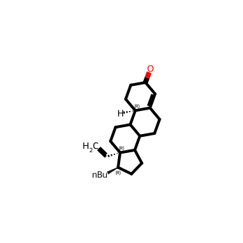 C=C[C@]12CCC3C(CCC4=CC(=O)CC[C@@H]43)C1CC[C@H]2CCCC